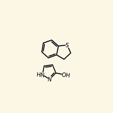 Oc1cc[nH]n1.c1ccc2c(c1)CCS2